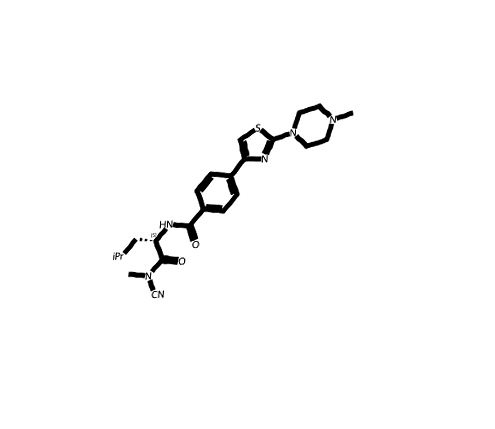 CC(C)C[C@H](NC(=O)c1ccc(-c2csc(N3CCN(C)CC3)n2)cc1)C(=O)N(C)C#N